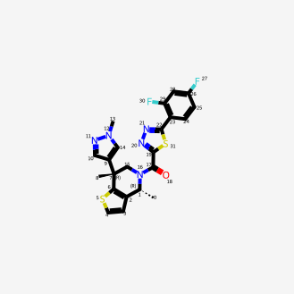 C[C@@H]1c2ccsc2[C@](C)(c2cnn(C)c2)CN1C(=O)c1nnc(-c2ccc(F)cc2F)s1